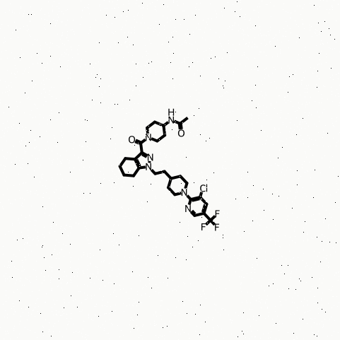 CC(=O)NC1CCN(C(=O)c2nn(CCC3CCN(c4ncc(C(F)(F)F)cc4Cl)CC3)c3c2CCCC3)CC1